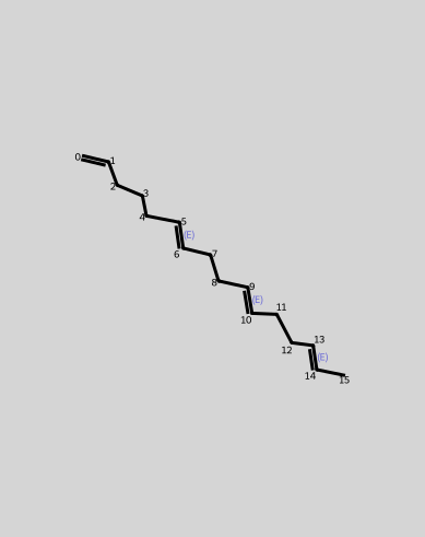 C=CCCC/C=C/CC/C=C/CC/C=C/C